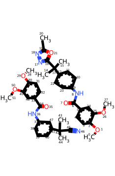 COc1ccc(C(=O)Nc2ccc(C(C)(C)c3nnc(C)o3)cc2)cc1OC.COc1ccc(C(=O)Nc2cccc(C(C)(C)C#N)c2)cc1OC